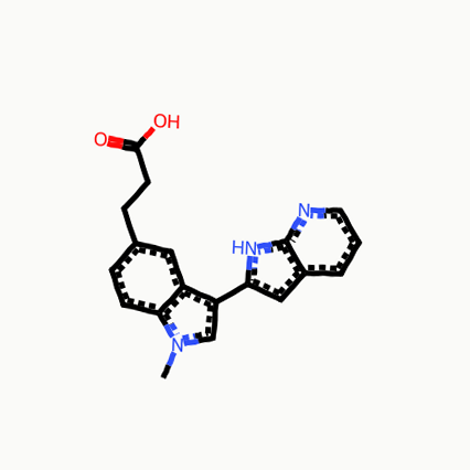 Cn1cc(-c2cc3cccnc3[nH]2)c2cc(CCC(=O)O)ccc21